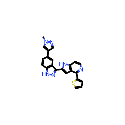 Cn1cc(-c2ccc3[nH]nc(-c4cc5c(-c6cccs6)nccc5[nH]4)c3c2)cn1